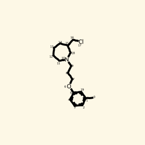 Cc1cccc(OCCCN2CCCCC(CCl)C2)c1